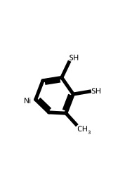 Cc1cccc(S)c1S.[Ni]